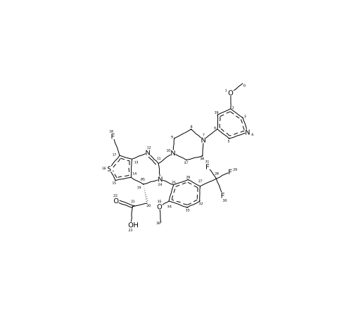 COc1cncc(N2CCN(C3=Nc4c(csc4F)[C@@H](CC(=O)O)N3c3cc(C(F)(F)F)ccc3OC)CC2)c1